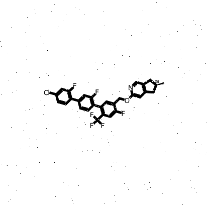 C[C@@H]1Cc2cnc(OCc3cc(-c4ccc(-c5ccc(Cl)cc5F)cc4F)c(C(F)(F)F)cc3F)cc2C1